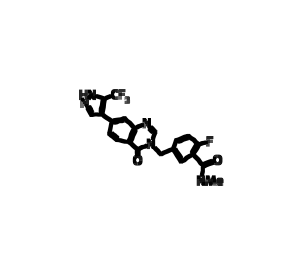 CNC(=O)c1cc(Cn2cnc3cc(-c4cn[nH]c4C(F)(F)F)ccc3c2=O)ccc1F